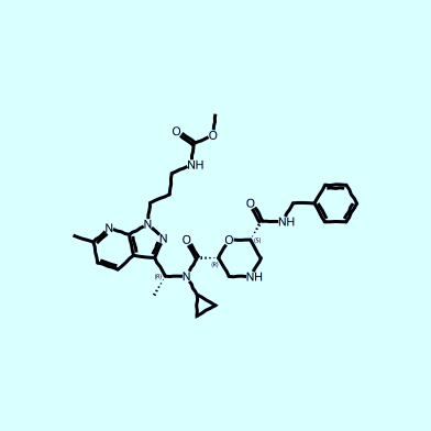 COC(=O)NCCCn1nc([C@@H](C)N(C(=O)[C@H]2CNC[C@@H](C(=O)NCc3ccccc3)O2)C2CC2)c2ccc(C)nc21